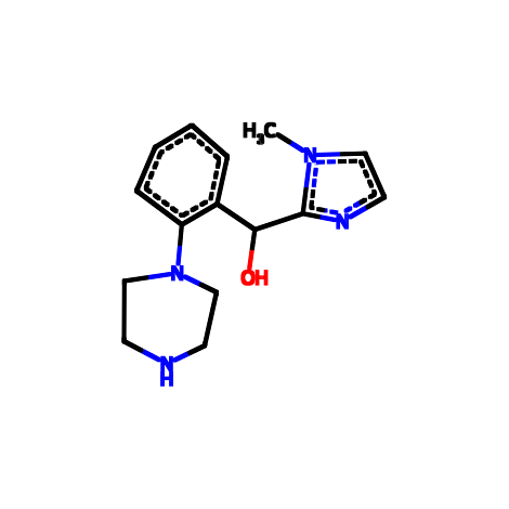 Cn1ccnc1C(O)c1ccccc1N1CCNCC1